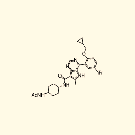 CC(=O)N[C@H]1CC[C@H](NC(=O)c2c(C)[nH]c3c(-c4cc(C(C)C)ccc4OCC4CC4)ncnc23)CC1